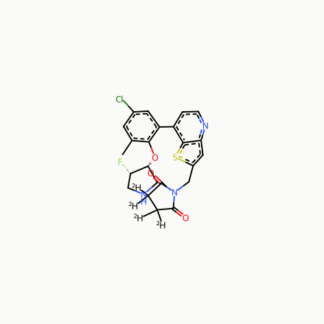 [2H]C1([2H])C(=O)N(Cc2cc3nccc(-c4cc(Cl)cc(C)c4O[C@@H]4CNC[C@@H]4F)c3s2)C(=O)C1([2H])[2H]